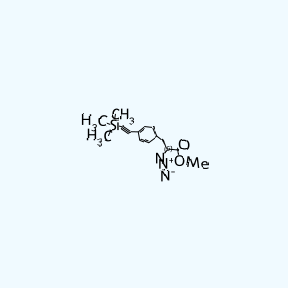 COC(=O)[C@H](Cc1ccc(C#C[Si](C)(C)C)cc1)N=[N+]=[N-]